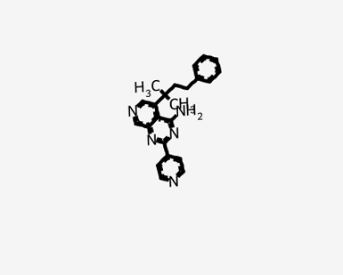 CC(C)(CCc1ccccc1)c1cncc2nc(-c3ccncc3)nc(N)c12